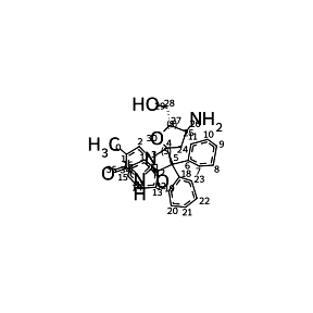 Cc1cn([C@@]2(C(c3ccccc3)(c3ccccc3)c3ccccc3)CC(N)[C@@H](CO)O2)c(=O)[nH]c1=O